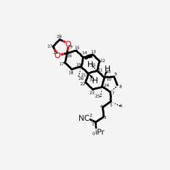 CC(C)C(C#N)CC[C@@H](C)[C@H]1CC[C@H]2[C@@H]3CC=C4CC5(CC[C@]4(C)[C@H]3CC[C@]12C)OCCO5